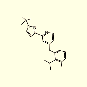 Cc1cccc(Cc2ccnc(-c3ccn(C(C)(C)C)n3)c2)c1C(C)C